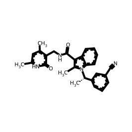 Cc1cc(C)c(CNC(=O)c2c(C)n([C@@H](C)c3cccc(C#N)c3)c3ccccc23)c(=O)[nH]1